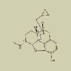 CN[C@@H]1CC[C@]2(O)[C@@H]3Cc4ccc(O)c5c4C2(CCN3CC2CC2)C1O5